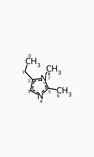 CCc1cnc(C)n1C